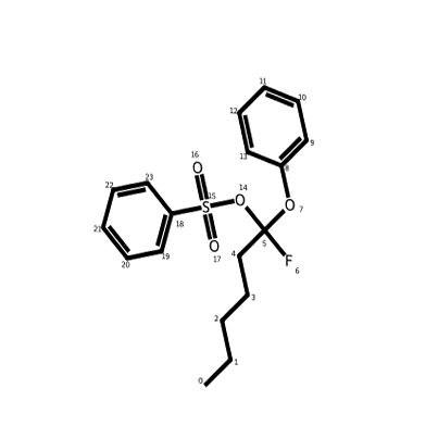 CCCCCC(F)(Oc1ccccc1)OS(=O)(=O)c1ccccc1